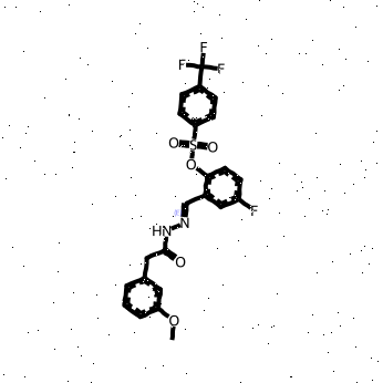 COc1cccc(CC(=O)N/N=C/c2cc(F)ccc2OS(=O)(=O)c2ccc(C(F)(F)F)cc2)c1